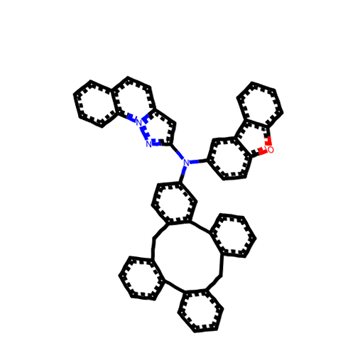 c1ccc2c(c1)Cc1ccccc1-c1cc(N(c3ccc4oc5ccccc5c4c3)c3cc4ccc5ccccc5n4n3)ccc1Cc1ccccc1-2